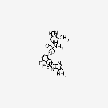 CCn1ncnc1CNC(=O)C1(N)CCN(c2ccc(F)c(C(F)(F)F)c2Cn2cnc3c(N)ncnc32)C1